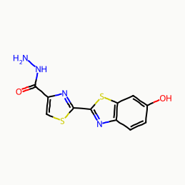 NNC(=O)c1csc(-c2nc3ccc(O)cc3s2)n1